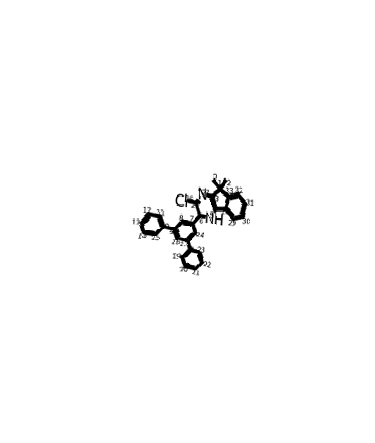 CC1(C)C2=C(NC(c3cc(-c4ccccc4)cc(-c4ccccc4)c3)C(Cl)=N2)c2ccccc21